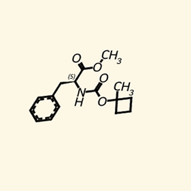 COC(=O)[C@H](Cc1ccccc1)NC(=O)OC1(C)CCC1